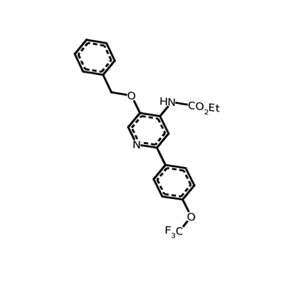 CCOC(=O)Nc1cc(-c2ccc(OC(F)(F)F)cc2)ncc1OCc1ccccc1